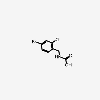 O=C(O)NCc1ccc(Br)cc1Cl